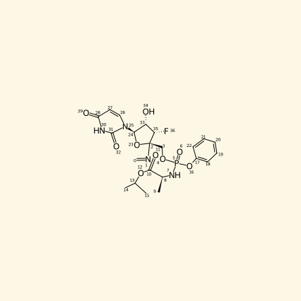 C=N[C@]1(COP(=O)(N[C@@H](C)C(=O)OC(C)C)Oc2ccccc2)O[C@@H](n2ccc(=O)[nH]c2=O)[C@H](O)[C@@H]1F